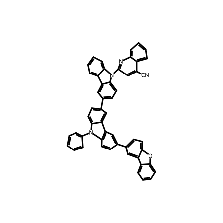 N#Cc1cc(-n2c3ccccc3c3cc(-c4ccc5c(c4)c4cc(-c6ccc7oc8ccccc8c7c6)ccc4n5-c4ccccc4)ccc32)nc2ccccc12